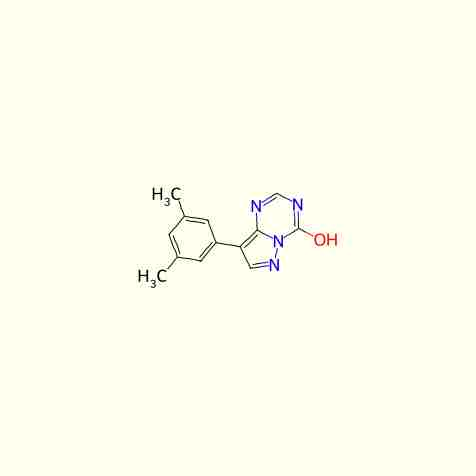 Cc1cc(C)cc(-c2cnn3c(O)ncnc23)c1